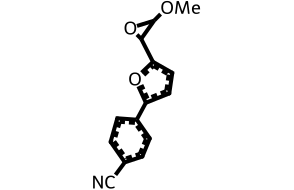 COC1OC1c1ccc(-c2ccc(C#N)cc2)o1